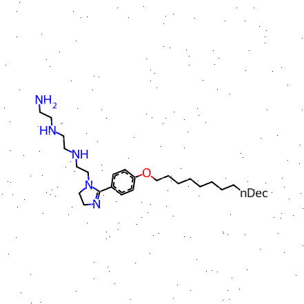 CCCCCCCCCCCCCCCCCCOc1ccc(C2=NCCN2CCNCCNCCN)cc1